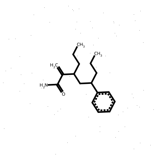 C=C(C(N)=O)C(CCC)CC(CCC)c1ccccc1